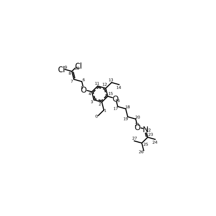 CCc1cc(OCC=C(Cl)Cl)cc(CC)c1OCCCCON=C(C)C(C)C